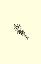 CN(C)/C=N/c1nn2cc(-c3ccc([N+](=O)[O-])o3)nc2s1